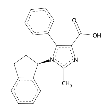 Cc1nc(C(=O)O)c(-c2ccccc2)n1[C@@H]1CCc2ccccc21